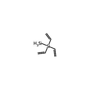 C=C[Si]([SiH3])(C=C)C=C